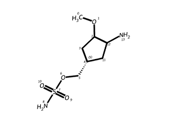 COC1C[C@@H](COS(N)(=O)=O)CC1N